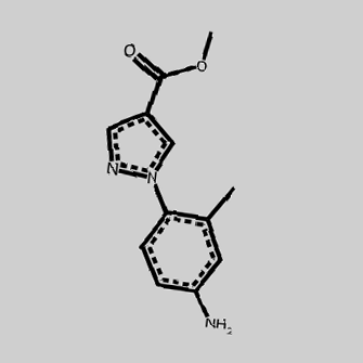 COC(=O)c1cnn(-c2ccc(N)cc2C)c1